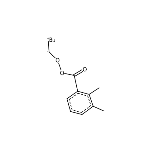 Cc1cccc(C(=O)OO[CH]C(C)(C)C)c1C